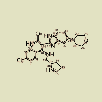 O=c1[nH]c2cc(Cl)ccc2c(NC[C@H]2CCCN2)c1-c1nc2cc(N3CCOCC3)ccc2[nH]1